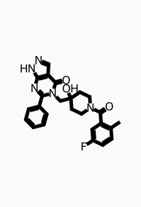 Cc1ccc(F)cc1C(=O)N1CCC(O)(Cn2c(-c3ccccc3)nc3[nH]ncc3c2=O)CC1